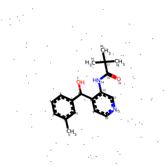 Cc1cccc(C(O)c2ccncc2NC(=O)C(C)(C)C)c1